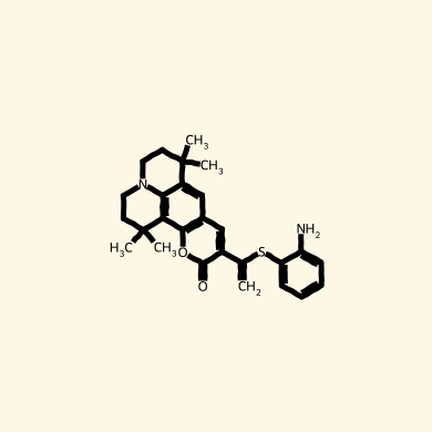 C=C(Sc1ccccc1N)c1cc2cc3c4c(c2oc1=O)C(C)(C)CCN4CCC3(C)C